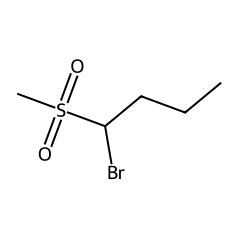 CCCC(Br)S(C)(=O)=O